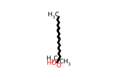 CCCCCC=CCC=CCCCCCCC(C)(C)C(=O)O